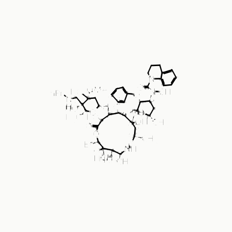 CCCNC[C@]1(O)[C@H](C)O[C@@H](O[C@H]2[C@H](C)[C@@H](O[C@@H]3O[C@H](C)C[C@H](N(C)C(=O)N4CCCc5ccccc54)[C@H]3Oc3ccccc3)[C@](C)(O)C[C@@H](C)CN[C@H](C)[C@@H](O)[C@](C)(O)[C@@H](CC)OC(=O)[C@@H]2C)C[C@@]1(C)OC